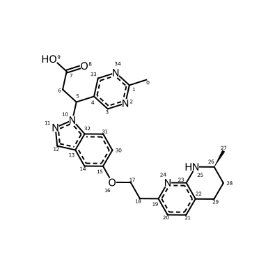 Cc1ncc(C(CC(=O)O)n2ncc3cc(OCCc4ccc5c(n4)N[C@@H](C)CC5)ccc32)cn1